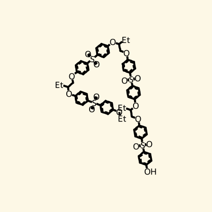 CCOc1ccc(S(=O)(=O)c2ccc(OC(CC)COc3ccc(S(=O)(=O)c4ccc(OC(CC)COc5ccc(S(=O)(=O)c6ccc(OC(CC)COc7ccc(S(=O)(=O)c8ccc(O)cc8)cc7)cc6)cc5)cc4)cc3)cc2)cc1